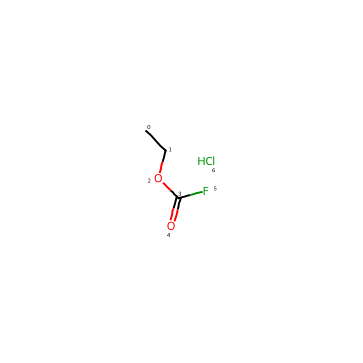 CCOC(=O)F.Cl